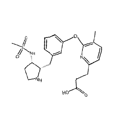 Cc1ccc(CCC(=O)O)nc1Oc1cccc(C[C@@H]2NCC[C@@H]2NS(C)(=O)=O)c1